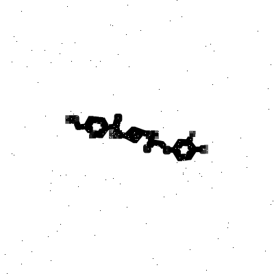 O=C(COc1ccc(Cl)c(F)c1)NC12CC(NC(=O)c3ccc(CO)nc3)(C1)C2